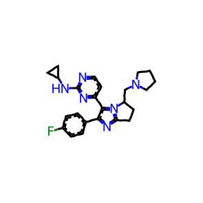 Fc1ccc(-c2nc3n(c2-c2ccnc(NC4CC4)n2)C(CN2CCCC2)CC3)cc1